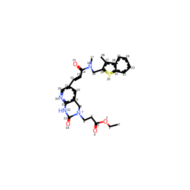 CCOC(=O)CCN1Cc2cc(C=CC(=O)N(C)Cc3sc4ccccc4c3C)cnc2NC1=O